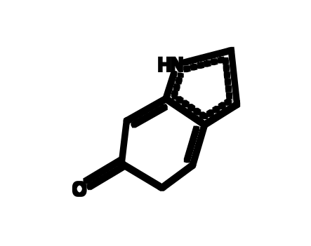 O=C1C=c2[nH]ccc2=CC1